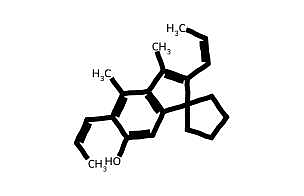 C/C=C\C1=C(C)c2c(cc(O)c(/C=C\C)c2C)C12CCCC2